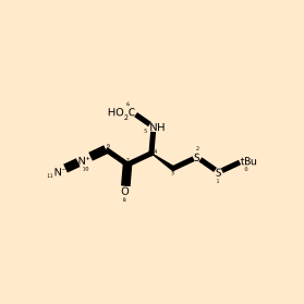 CC(C)(C)SSC[C@H](NC(=O)O)C(=O)C=[N+]=[N-]